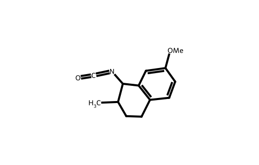 COc1ccc2c(c1)C(N=C=O)C(C)CC2